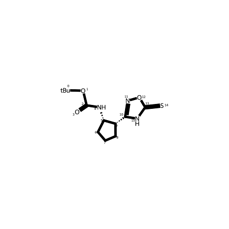 CC(C)(C)OC(=O)N[C@H]1CCC[C@H]1c1noc(=S)[nH]1